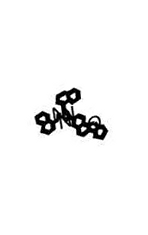 c1ccc2c(-c3nc(-c4ccc5c(ccc6c7ccccc7oc56)c4)nc(-c4cccc5ccccc45)n3)cccc2c1